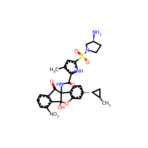 Cc1cc(S(=O)(=O)N2CC[C@H](N)C2)[nH]c1C(=O)NC12C(=O)c3cccc([N+](=O)[O-])c3C1(O)Oc1cc([C@@H]3C[C@H]3C)ccc12